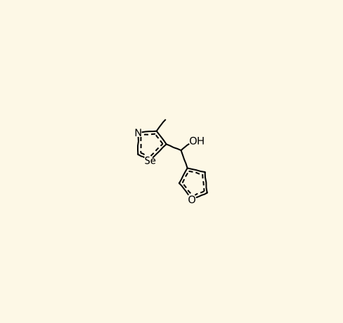 Cc1nc[se]c1C(O)c1ccoc1